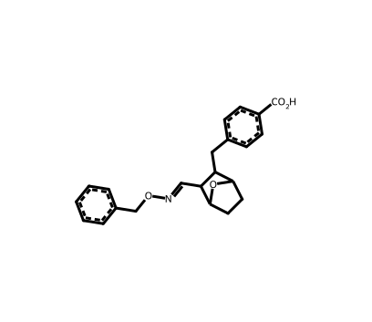 O=C(O)c1ccc(CC2C3CCC(O3)C2C=NOCc2ccccc2)cc1